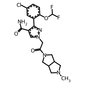 CN1CC2CN(C(=O)Cn3cc(C(N)=O)c(-c4cc(Cl)ccc4OC(F)F)n3)CC2C1